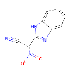 N#CC(c1nc2ccccc2[nH]1)[N+](=O)[O-]